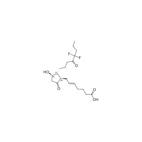 CCCC(F)(F)C(=O)CCC[C@H]1[C@H](O)CC(=O)[C@@H]1CC=CCCCC(=O)O